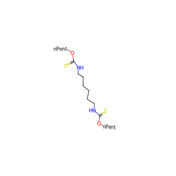 CCCCCOC(=S)NCCCCCCNC(=S)OCCCCC